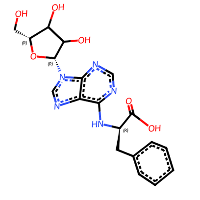 O=C(O)[C@@H](Cc1ccccc1)Nc1ncnc2c1ncn2[C@@H]1O[C@H](CO)C(O)C1O